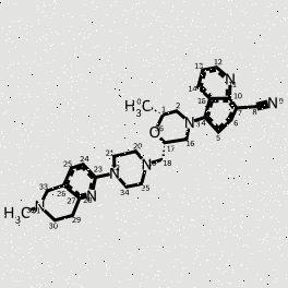 C[C@@H]1CN(c2ccc(C#N)c3ncccc23)C[C@H](CN2CCN(c3ccc4c(n3)CCN(C)C4)CC2)O1